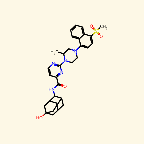 CC1CN(c2ccc(S(C)(=O)=O)c3ccccc23)CCN1c1nccc(C(=O)NC2C3CC4CC2CC(O)(C4)C3)n1